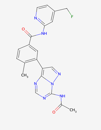 CC(=O)Nc1ncnc2c(-c3cc(C(=O)Nc4cc(CF)ccn4)ccc3C)cnn12